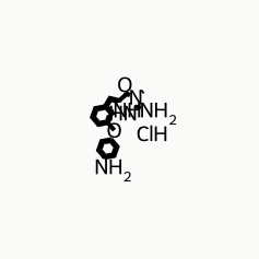 CN(C(=N)N)C(=O)c1cc2cccc(Oc3ccc(N)cc3)c2[nH]1.Cl